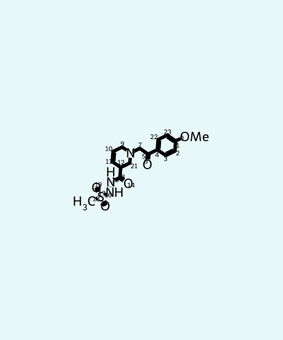 COc1ccc(C(=O)CN2CC=CC(C(=O)NNS(C)(=O)=O)C2)cc1